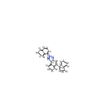 c1ccc2c(-c3cc4nn(-c5cccc6ccccc56)nc4c4ccccc34)cccc2c1